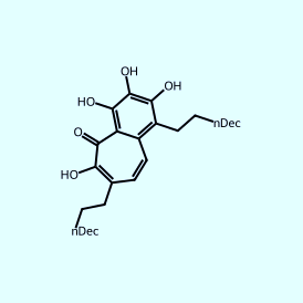 CCCCCCCCCCCCc1ccc2c(CCCCCCCCCCCC)c(O)c(O)c(O)c2c(=O)c1O